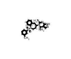 Cc1cccc(S(=O)(=O)N2CCC(N3C(N)=Nc4[nH]ncc4C3N)Cc3ccccc32)c1